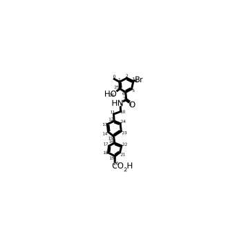 Cc1cc(Br)cc(C(=O)NCCc2ccc(-c3ccc(C(=O)O)cc3)cc2)c1O